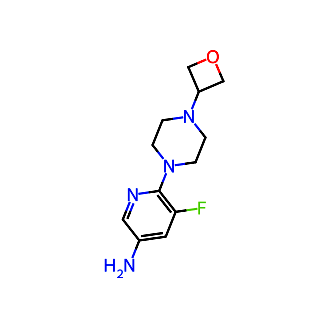 Nc1cnc(N2CCN(C3COC3)CC2)c(F)c1